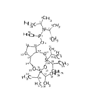 CC(C)N(C(C)C)P(O)OC1COC2CO[Si](C(C)C)(C(C)C)O[Si](C(C)C)(C(C)C)OC21